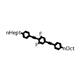 CCCCCCCCc1ccc(C#Cc2cc(F)c(C#Cc3ccc(CCCCCCC)cc3)c(F)c2)cc1